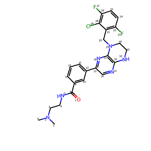 CN(C)CCNC(=O)c1cccc(-c2cnc3c(n2)N(Cc2c(F)ccc(F)c2Cl)CCN3)c1